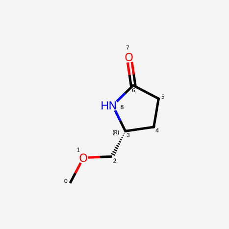 COC[C@H]1CCC(=O)N1